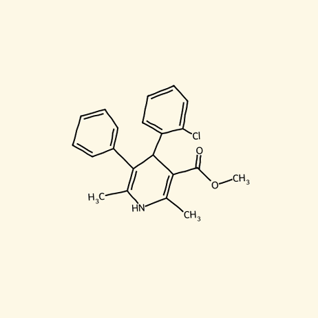 COC(=O)C1=C(C)NC(C)=C(c2ccccc2)C1c1ccccc1Cl